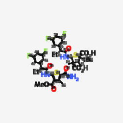 CCC(C(=O)NC1SC(C(=O)O)(C(C)(C)C)C(C)C1(C)C(=O)O)c1cc(F)cc(F)c1.CCC(C(=O)Nc1sc(C(N)=O)c(C)c1C(=O)OC)c1cc(F)cc(F)c1